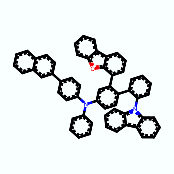 c1ccc(N(c2ccc(-c3ccc4ccccc4c3)cc2)c2ccc(-c3ccccc3-n3c4ccccc4c4ccccc43)c(-c3cccc4c3oc3ccccc34)c2)cc1